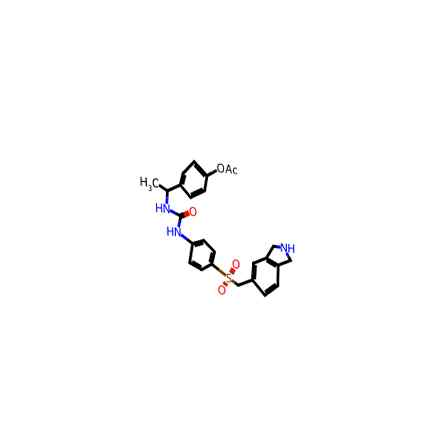 CC(=O)Oc1ccc(C(C)NC(=O)Nc2ccc(S(=O)(=O)Cc3ccc4c(c3)CNC4)cc2)cc1